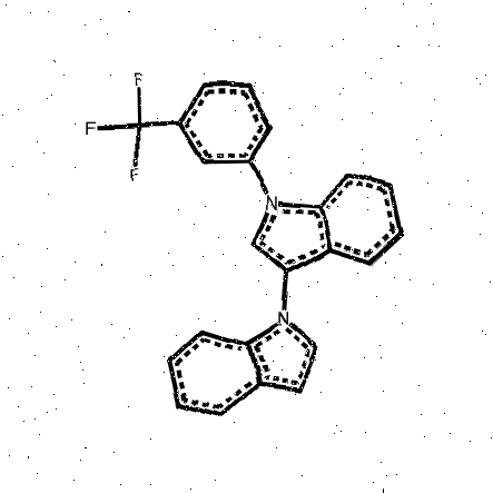 FC(F)(F)c1cccc(-n2cc(-n3ccc4ccccc43)c3ccccc32)c1